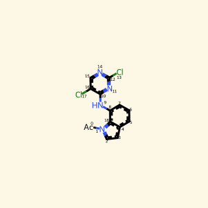 CC(=O)n1ccc2cccc(Nc3nc(Cl)ncc3Cl)c21